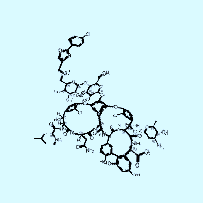 CN[C@H](CC(C)C)C(=O)N[C@H]1C(=O)N[C@@H](CC(N)=O)C(=O)N[C@H]2C(=O)N[C@H]3C(=O)N[C@H](C(=O)N[C@@H](C(=O)O)c4cc(O)cc(O)c4-c4cc3ccc4O)[C@H](O[C@H]3C[C@H](N)[C@@H](O)[C@H](C)O3)c3ccc(c(Cl)c3)Oc3cc2cc(c3O[C@@H]2O[C@H](CO)[C@@H](O[C@@H]3O[C@H](CNCc4coc(-c5ccc(Cl)cc5)n4)[C@H](O)[C@H](O)[C@H]3O)[C@H](O)[C@H]2O)Oc2ccc(cc2Cl)[C@H]1O